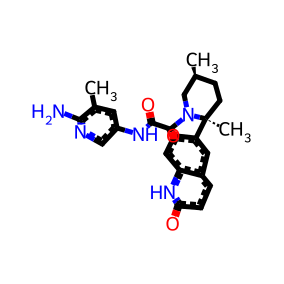 Cc1cc(NC(=O)C(=O)N2C[C@@H](C)CC[C@@]2(C)c2ccc3[nH]c(=O)ccc3c2)cnc1N